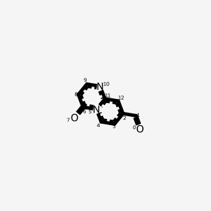 O=Cc1ccn2c(=O)ccnc2c1